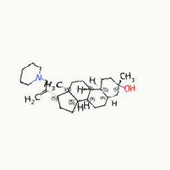 C=C(CN1CCCCC1)[C@H]1CC[C@H]2[C@@H]3CC[C@@H]4C[C@@](C)(O)CC[C@@H]4[C@H]3CC[C@]12C